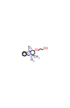 CC1(C)CC(OCCCO)CC(C)(C)N1Cc1ccccc1